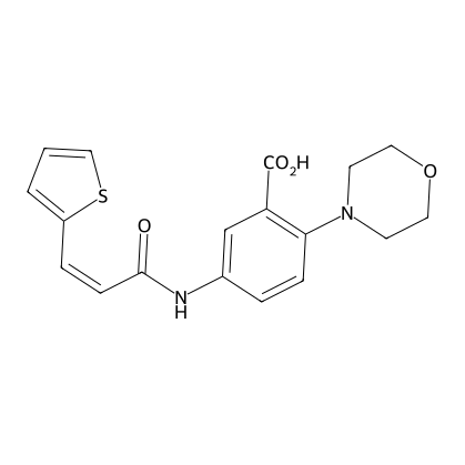 O=C(/C=C\c1cccs1)Nc1ccc(N2CCOCC2)c(C(=O)O)c1